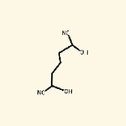 N#CC(O)CCCC(O)C#N